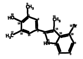 Cc1cc(-c2[nH]c3cccc(Br)c3c2C)cc(C)c1O